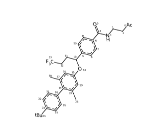 CC(=O)CCNC(=O)c1ccc(C(CCC(F)(F)F)Oc2cc(C)c(-c3ccc(C(C)(C)C)cc3)c(C)c2)cc1